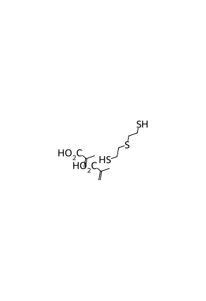 C=C(C)C(=O)O.C=C(C)C(=O)O.SCCSCCS